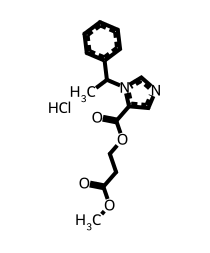 COC(=O)CCOC(=O)c1cncn1C(C)c1ccccc1.Cl